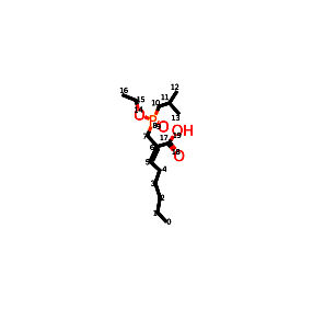 CCCCC/C=C(/CP(=O)(CC(C)C)OCC)C(=O)O